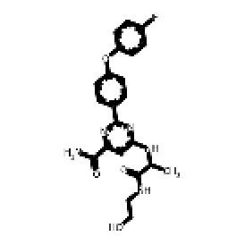 CC(Nc1cc(C(N)=O)nc(-c2ccc(Oc3ccc(F)cc3)cc2)n1)C(=O)NCCO